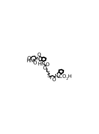 C[C@H](CC(=O)N(CC(=O)O)Cc1ccccc1)SSCCOC(=O)Nc1cccc2c1CN(C1CCC(=O)NC1=O)C2=O